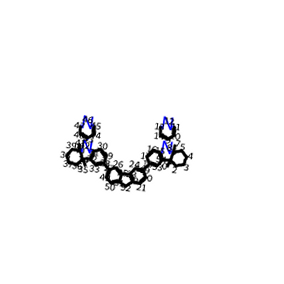 CC12CCCCC1(C)N(c1ccncc1)c1ccc(-c3ccc4c(c3)-c3cc(-c5ccc6c(c5)C5(C)CCCCC5(C)N6c5ccncc5)ccc3C4)cc12